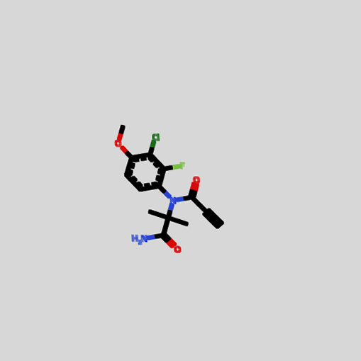 C#CC(=O)N(c1ccc(OC)c(Cl)c1F)C(C)(C)C(N)=O